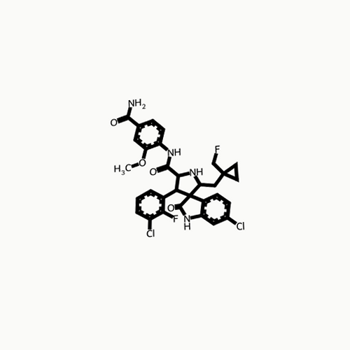 COc1cc(C(N)=O)ccc1NC(=O)C1NC(CC2(CF)CC2)C2(C(=O)Nc3cc(Cl)ccc32)C1c1cccc(Cl)c1F